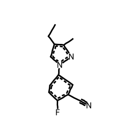 CCc1cn(-c2ccc(F)c(C#N)c2)nc1C